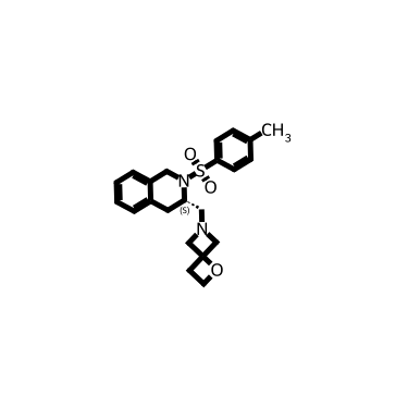 Cc1ccc(S(=O)(=O)N2Cc3ccccc3C[C@H]2CN2CC3(CCO3)C2)cc1